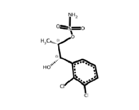 C[C@H](OS(N)(=O)=O)[C@@H](O)c1cccc(Cl)c1Cl